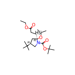 CCOC(=O)CC[C@@]1(O[SiH](C)C)C[C@H](C(C)(C)C)CN1C(=O)OC(C)(C)C